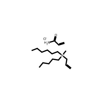 C=CC(N)=O.C=CC[N+](C)(CCCCC)CCCCCC.[Cl-]